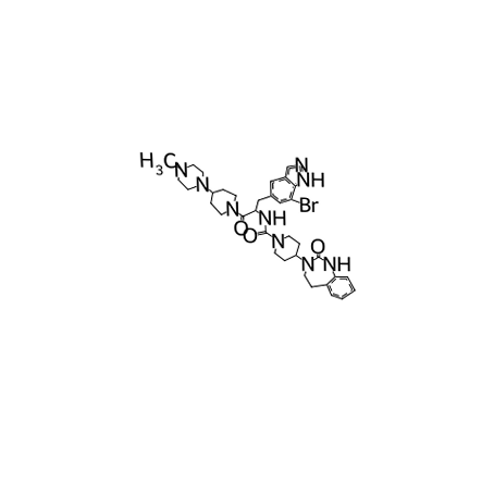 CN1CCN(C2CCN(C(=O)C(Cc3cc(Br)c4[nH]ncc4c3)NC(=O)N3CCC(N4CCc5ccccc5NC4=O)CC3)CC2)CC1